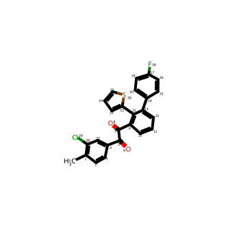 Cc1ccc(C(=O)C(=O)c2cccc(-c3ccc(F)cc3)c2-c2cccs2)cc1Cl